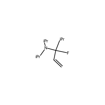 C=CC(F)(C(C)C)N(C(C)C)C(C)C